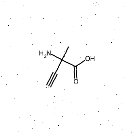 C#CC(C)(N)C(=O)O